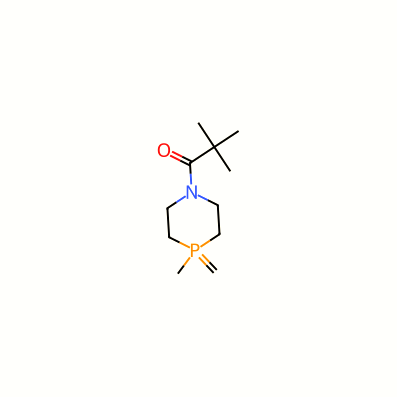 C=P1(C)CCN(C(=O)C(C)(C)C)CC1